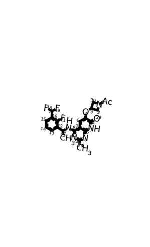 CC(=O)N1CC(Oc2cc3c(NC(C)c4cccc(C(F)F)c4F)nc(C)nc3[nH]c2=O)C1